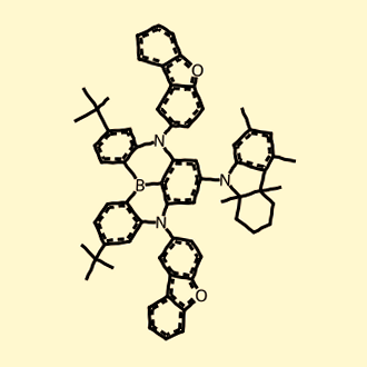 Cc1cc(C)c2c(c1)N(c1cc3c4c(c1)N(c1ccc5oc6ccccc6c5c1)c1cc(C(C)(C)C)ccc1B4c1ccc(C(C)(C)C)cc1N3c1ccc3oc4ccccc4c3c1)C1(C)CCCCC21C